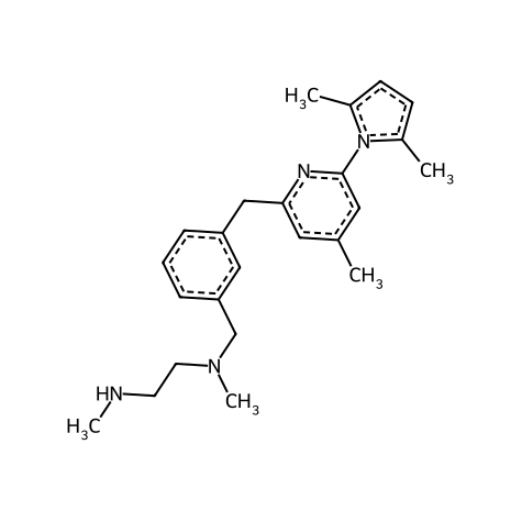 CNCCN(C)Cc1cccc(Cc2cc(C)cc(-n3c(C)ccc3C)n2)c1